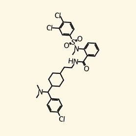 CN(C)C(c1ccc(Cl)cc1)C1CCC(CCNC(=O)c2ccccc2N(C)S(=O)(=O)c2ccc(Cl)c(Cl)c2)CC1